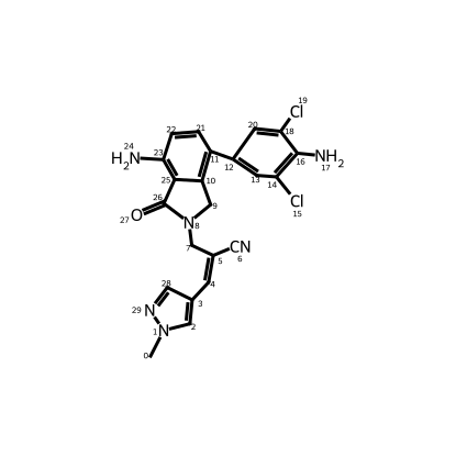 Cn1cc(/C=C(/C#N)CN2Cc3c(-c4cc(Cl)c(N)c(Cl)c4)ccc(N)c3C2=O)cn1